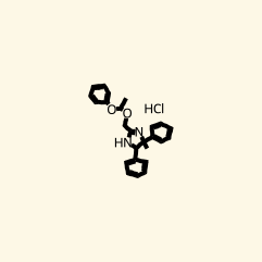 CC(OCC1=NC(C)(c2ccccc2)C(c2ccccc2)N1)Oc1ccccc1.Cl